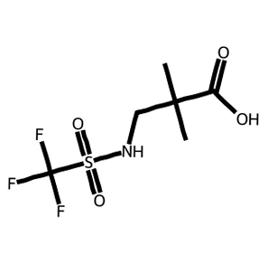 CC(C)(CNS(=O)(=O)C(F)(F)F)C(=O)O